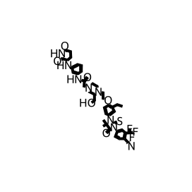 CCc1cc(N2C(=S)N(c3ccc(C#N)c(C(F)(F)F)c3)C(=O)C2(C)C)ccc1OCCN1CCN(CC(=O)Nc2cccc(NC3CCC(=O)NC3=O)c2)CC1CO